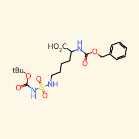 CC(C)(C)OC(=O)NS(=O)(=O)NCCCCC(NC(=O)OCc1ccccc1)C(=O)O